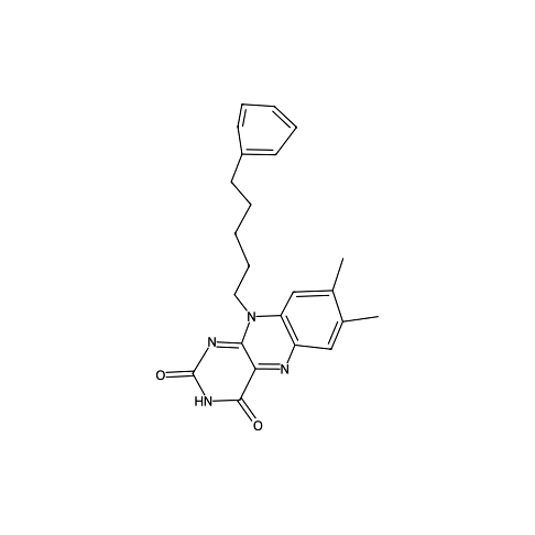 Cc1cc2nc3c(=O)[nH]c(=O)nc-3n(CCCCCc3ccccc3)c2cc1C